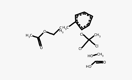 CC(Cl)(Cl)Cl.CCOC(C)=O.CO.Cc1ccccc1.O=CO